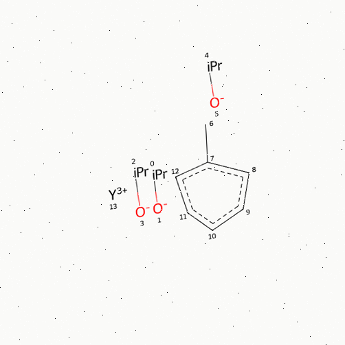 CC(C)[O-].CC(C)[O-].CC(C)[O-].Cc1ccccc1.[Y+3]